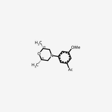 COc1cc(C(C)=O)cc(N2C[C@@H](C)O[C@@H](C)C2)c1